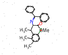 COC(=O)C(N=C(c1ccccc1)c1ccccc1)C(C)c1c(F)ccc(C)c1C